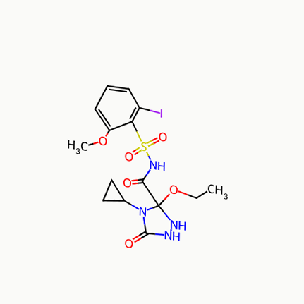 CCOC1(C(=O)NS(=O)(=O)c2c(I)cccc2OC)NNC(=O)N1C1CC1